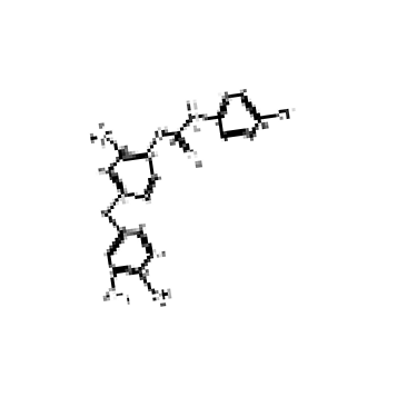 Cc1cc(Cc2ccc(OC(=O)Nc3ccc(Cl)cc3)c(C)c2)ccc1O